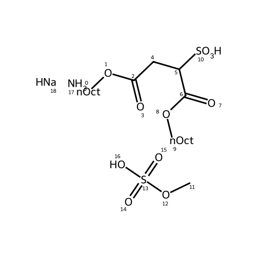 CCCCCCCCOC(=O)CC(C(=O)OCCCCCCCC)S(=O)(=O)O.COS(=O)(=O)O.N.[NaH]